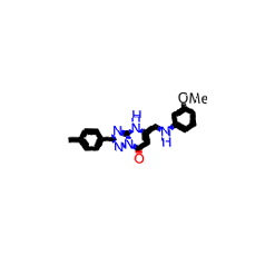 COc1cccc(NCc2cc(=O)n3nc(-c4ccc(C)cc4)nc3[nH]2)c1